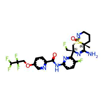 C[C@]12CCCN=[S@@]1(=O)C[C@@](CF)(c1nc(NC(=O)c3ccc(OCC(F)(F)C(F)F)cn3)ccc1F)N=C2N